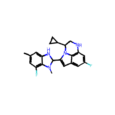 Cc1cc(F)c2c(c1)NC(c1cc3cc(F)cc4c3n1C(C1CC1)CN4)N2C